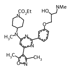 CCOC(=O)N1CCC(N(C)c2cc(-c3c(C)noc3C)nc(-c3cccc(OCC(O)CNC)c3)n2)CC1